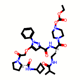 CCOC(=O)ON1CCN(C(=O)[C@H](CCNC(=O)C(C)C)NC(=O)c2cc(OCC(=O)N3CCC[C@H]3C(=O)NC3CCC3)n(-c3ccccc3)n2)CC1